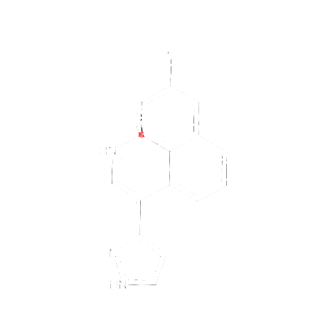 O=C1NC=C(c2cc[nH]n2)C2=CC=CC3=CC(Cl)=CCC132